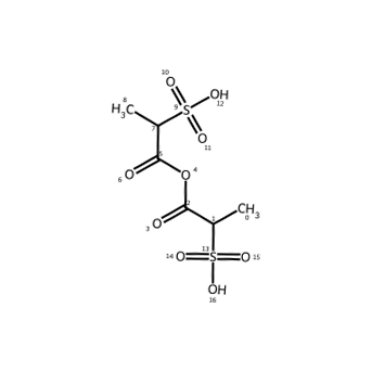 CC(C(=O)OC(=O)C(C)S(=O)(=O)O)S(=O)(=O)O